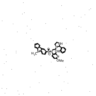 COc1ccc(N(CCN2CCNC2c2ccccc2)S(=O)(=O)c2ccc3c(c2)c2ccccc2n3C)c(OC)n1